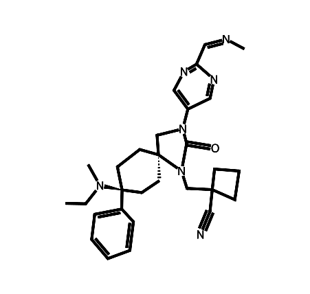 CCN(C)[C@]1(c2ccccc2)CC[C@]2(CC1)CN(c1cnc(/C=N\C)nc1)C(=O)N2CC1(C#N)CCC1